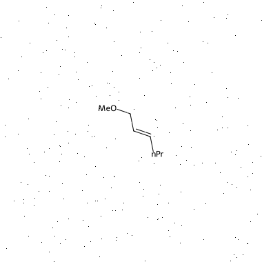 [CH2]OCC=CCCC